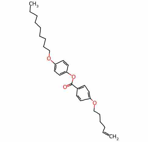 C=CCCCCOc1ccc(C(=O)Oc2ccc(OCCCCCCCCC)cc2)cc1